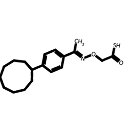 C/C(=N\OCC(=O)S)c1ccc(C2CCCCCCCC2)cc1